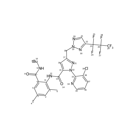 Cc1cc(I)cc(C(=O)NC(C)(C)C)c1NC(=O)c1cc(Cn2ncc(C(F)(F)C(F)(F)C(F)(F)F)n2)nn1-c1ncccc1Cl